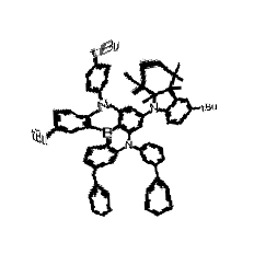 CC(C)(C)c1ccc(N2c3ccc(C(C)(C)C)cc3B3c4ccc(-c5ccccc5)cc4N(c4cccc(-c5ccccc5)c4)c4cc(N5c6ccc(C(C)(C)C)cc6C6(C)C(C)(C)CCC(C)(C)C56C)cc2c43)cc1